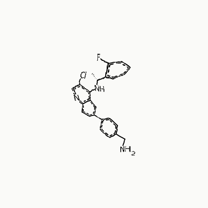 C[C@@H](Nc1c(Cl)cnc2ccc(-c3ccc(CN)cc3)cc12)c1ccccc1F